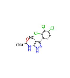 CCCCC(=O)Nc1[nH]nc(-c2ccc(Cl)c(Cl)c2Cl)c1C#N